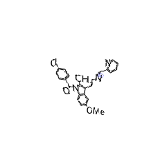 COc1ccc2c(c1)c(CC/N=C/c1ccccn1)c(C)n2C(=O)c1ccc(Cl)cc1